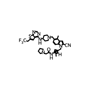 Cc1c(CN2CCC(Nc3ncnc4sc(CC(F)(F)F)cc34)CC2)ccc2c1cc(C#N)n2CC12CC(NC(=O)CN3CCCC3)(C1)[C@H]2C